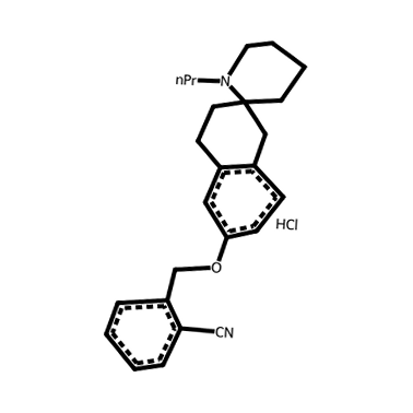 CCCN1CCCCC12CCc1cc(OCc3ccccc3C#N)ccc1C2.Cl